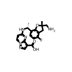 C[C@@H](Nc1ccn2ncc(C(=O)O)c2n1)c1ccc(F)c2c1OC(C)(CN)C2